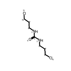 O=C(NCCCCl)NCCCCl